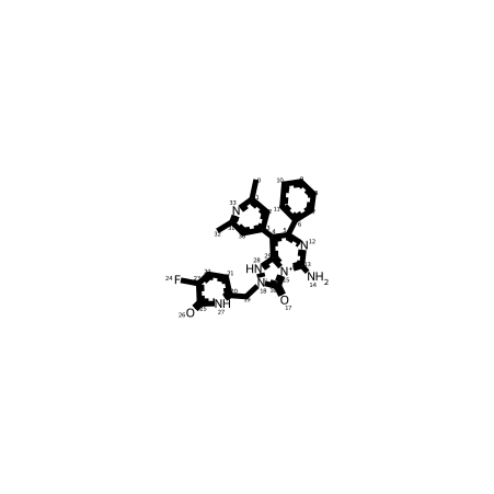 Cc1cc(-c2c(-c3ccccc3)nc(N)[n+]3c(=O)n(Cc4ccc(F)c(=O)[nH]4)[nH]c23)cc(C)n1